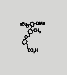 CCCCOc1ccc(OC)cc1-c1ccc(COc2cccc(CCC(=O)O)c2)cc1C